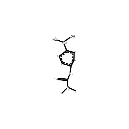 CN(C)C(=O)Cc1ccc(B(O)O)cc1